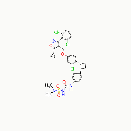 CN(C)S(=O)(=O)NC(=O)Nc1ccc([C@@H]2CC[C@H]2c2ccc(OCc3c(-c4c(Cl)cccc4Cl)noc3C3CC3)cc2Cl)cc1